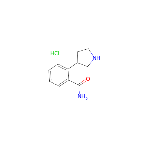 Cl.NC(=O)c1ccccc1C1CCNC1